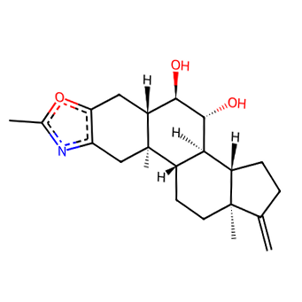 C=C1CC[C@H]2[C@@H]3[C@@H](O)[C@H](O)[C@H]4Cc5oc(C)nc5C[C@]4(C)[C@H]3CC[C@]12C